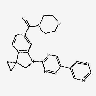 O=C(c1ccc2c(c1)N(c1ncc(-c3cncnc3)cn1)CC21CC1)N1CCOCC1